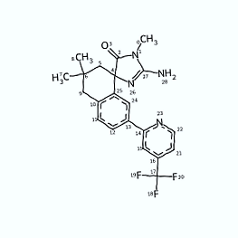 CN1C(=O)C2(CC(C)(C)Cc3ccc(-c4cc(C(F)(F)F)ccn4)cc32)N=C1N